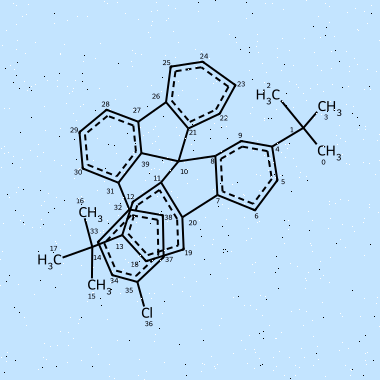 CC(C)(C)c1ccc2c(c1)C1(c3cc(C(C)(C)C)ccc3-2)c2ccccc2-c2cccc(-c3ccc(Cl)cc3)c21